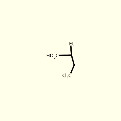 CCC(CC(Cl)(Cl)Cl)C(=O)O